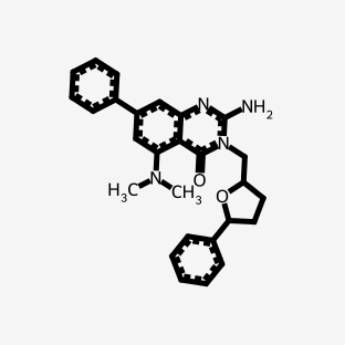 CN(C)c1cc(-c2ccccc2)cc2nc(N)n(CC3CCC(c4ccccc4)O3)c(=O)c12